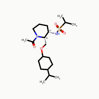 CC(=O)N1CCC[C@H](NS(=O)(=O)C(C)C)[C@@H]1COC1CCC(C(C)C)CC1